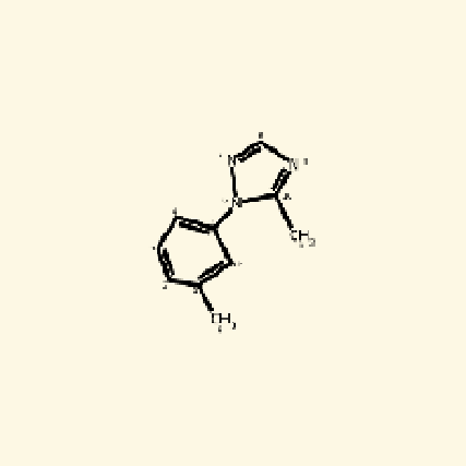 Cc1cccc(-n2ncnc2C)c1